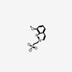 COc1cccc2cc[n+](CCS(=O)(=O)[O-])nc12